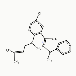 CC(C)=CCN(C)c1ccc(Cl)cc1/C(C)=N/N(C)c1ccccc1